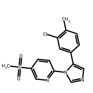 Cc1ccc(-c2cncn2-c2ccc(S(C)(=O)=O)cn2)cc1Cl